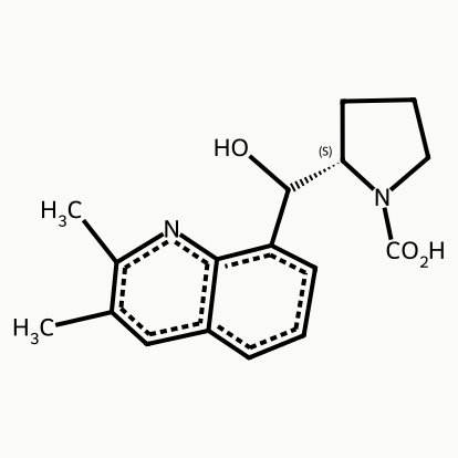 Cc1cc2cccc(C(O)[C@@H]3CCCN3C(=O)O)c2nc1C